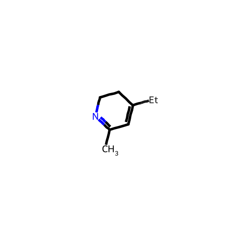 CCC1=CC(C)=NCC1